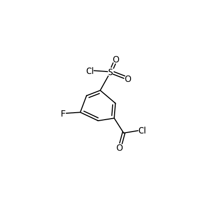 O=C(Cl)c1cc(F)cc(S(=O)(=O)Cl)c1